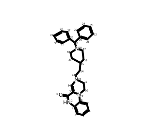 O=C1Nc2ccccc2N2CCN(CCC3CCN(C(c4ccccc4)c4ccccc4)CC3)C=C12